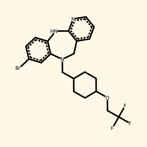 FC(F)(F)COC1CCC(CN2Cc3cccnc3Nc3ccc(Br)cc32)CC1